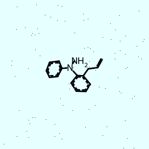 C=CCc1ccccc1N(N)c1ccccc1